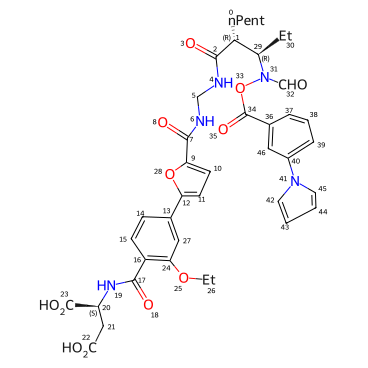 CCCCC[C@@H](C(=O)NCNC(=O)c1ccc(-c2ccc(C(=O)N[C@@H](CC(=O)O)C(=O)O)c(OCC)c2)o1)[C@@H](CC)N(C=O)OC(=O)c1cccc(-n2cccc2)c1